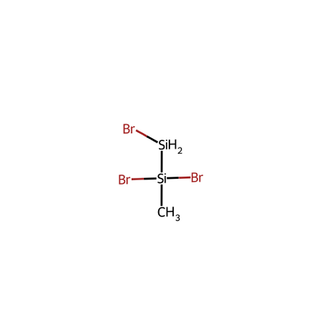 C[Si](Br)(Br)[SiH2]Br